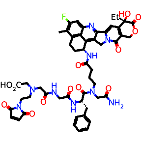 CC[C@@]1(O)C(=O)OCc2c1cc1n(c2=O)Cc2c-1nc1cc(F)c(C)c3c1c2[C@@H](NC(=O)CCCN(CC(N)=O)C(=O)[C@H](Cc1ccccc1)NC(=O)CNC(=O)CN(CCN1C(=O)C=CC1=O)CC(=O)O)CC3